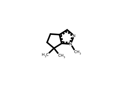 Cn1n[c]c2c1C(C)(C)CC2